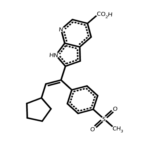 CS(=O)(=O)c1ccc(C(=CC2CCCC2)c2cc3cc(C(=O)O)cnc3[nH]2)cc1